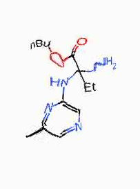 CCCCOC(=O)C(N)(CC)Nc1cncc(C)n1